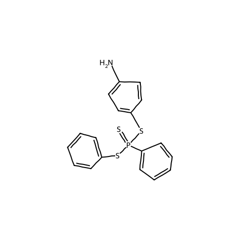 Nc1ccc(SP(=S)(Sc2ccccc2)c2ccccc2)cc1